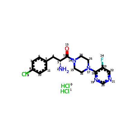 Cl.Cl.N[C@H](Cc1ccc(Cl)cc1)C(=O)N1CCN(c2ncncc2F)CC1